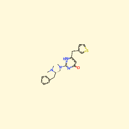 CN(C[C@H](Cc1ccccc1)N(C)C)c1nc(=O)cc(Cc2ccsc2)[nH]1